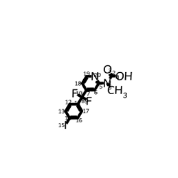 CN(C(=O)O)c1cc(C(F)(F)c2ccc(I)cc2)ccn1